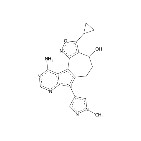 Cn1cc(-n2c3c(c4c(N)ncnc42)-c2noc(C4CC4)c2C(O)CC3)cn1